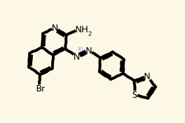 Nc1ncc2ccc(Br)cc2c1/N=N/c1ccc(-c2nccs2)cc1